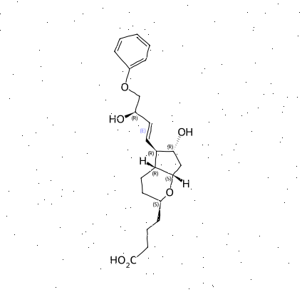 O=C(O)CCC[C@H]1CC[C@@H]2[C@@H](/C=C/[C@@H](O)COc3ccccc3)[C@H](O)C[C@@H]2O1